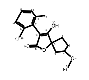 CCOC1CCC2(C1)OC(=O)C(c1c(C)cccc1Cl)=C2O